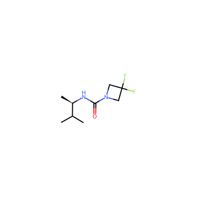 CC(C)[C@@H](C)NC(=O)N1CC(F)(F)C1